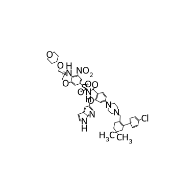 CC1(C)CCC(CN2CCN(c3ccc(C(=O)NS(=O)(=O)c4cc5c(c([N+](=O)[O-])c4)N[C@H](COC4CCOCC4)CO5)c(Oc4cnc5[nH]ccc5c4)c3)CC2)=C(c2ccc(Cl)cc2)C1